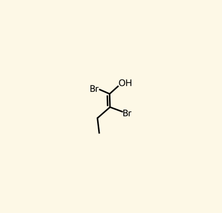 CCC(Br)=C(O)Br